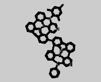 Cc1cc(C)c(N2c3cccc4c3B3c5c(cncc52)-c2c(-c5ccc6c7cccc8c7n7c6c5-c5cccc6c5B7c5c-8cncc5N6c5ccccc5)ccc5c6cccc-4c6n3c25)c(C)c1